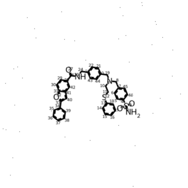 NS(=O)(=O)c1ccc(CN(CCSc2ccccc2)Cc2ccc(CNC(=O)c3ccc4oc(-c5ccccc5)cc4c3)cc2)cc1